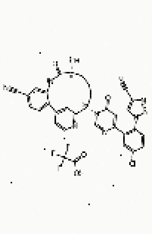 C[C@@H]1CCC[C@H](n2cnc(-c3cc(Cl)ccc3-n3cc(C#N)nn3)cc2=O)c2cc(ccn2)-c2ccc(C#N)cc2NC1=O.O=C(O)C(F)(F)F